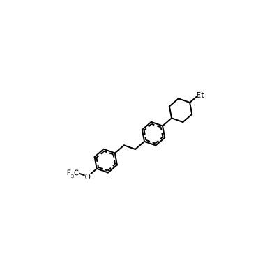 CCC1CCC(c2ccc(CCc3ccc(OC(F)(F)F)cc3)cc2)CC1